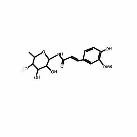 COc1cc(/C=C/C(=O)NC2OC(C)C(O)C(O)C2O)ccc1O